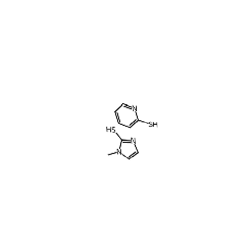 Cn1ccnc1S.Sc1ccccn1